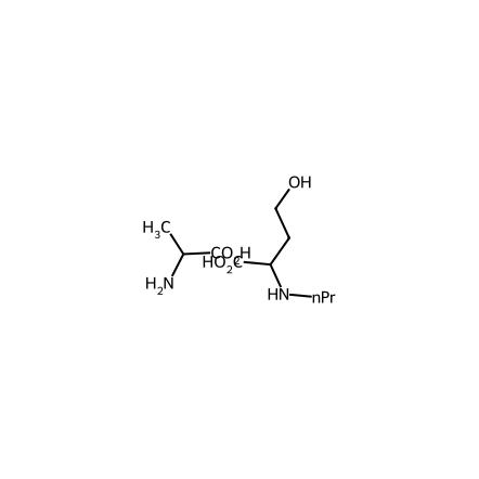 CC(N)C(=O)O.CCCNC(CCO)C(=O)O